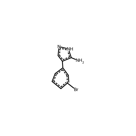 Nc1[nH]ncc1-c1cccc(Br)c1